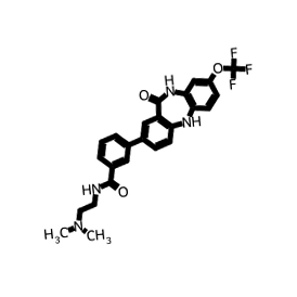 CN(C)CCNC(=O)c1cccc(-c2ccc3c(c2)C(=O)Nc2cc(OC(F)(F)F)ccc2N3)c1